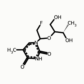 Cc1cn(C(CF)OC(CO)[C@H](C)O)c(=O)[nH]c1=O